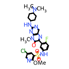 COc1ncc(Cl)cc1S(=O)(=O)Nc1ccc(F)c(-c2nc3cnc(N[C@H]4CC[C@H](N(C)C)CC4)nc3n(C)c2=O)c1